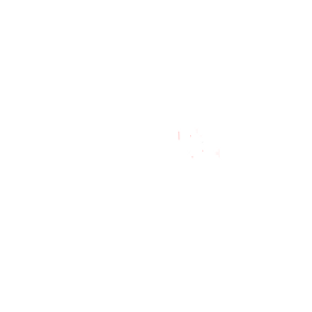 CCCCCCCCCCCCCCCC(O)C(C)(O)C(=O)O